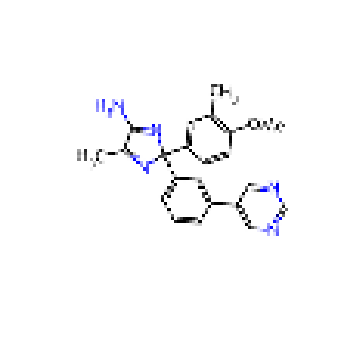 COc1ccc(C2(c3cccc(-c4cncnc4)c3)N=C(C)C(N)=N2)cc1C